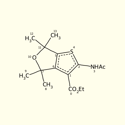 CCOC(=O)c1c(NC(C)=O)sc2c1C(C)(C)OC2(C)C